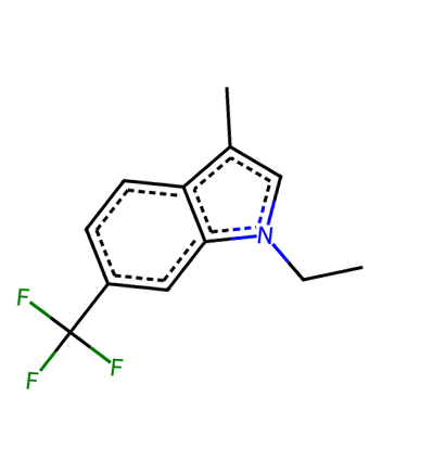 CCn1cc(C)c2ccc(C(F)(F)F)cc21